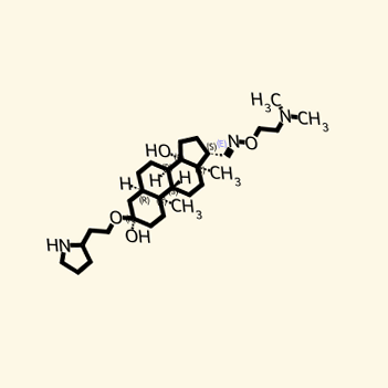 CN(C)CCO/N=C/[C@H]1CC[C@]2(O)[C@@H]3CC[C@@H]4C[C@](O)(OCCC5CCCN5)CC[C@]4(C)[C@H]3CC[C@]12C